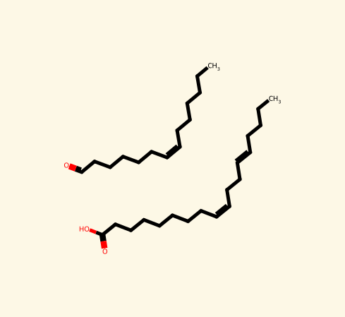 CCCC/C=C/CC/C=C\CCCCCCCC(=O)O.CCCCCC/C=C\CCCCCC=O